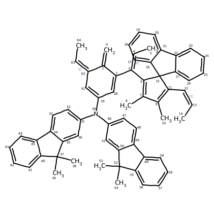 C=c1c(/C(=C/C)C2=C(C)C(C)=C(/C=C\C)C23c2ccccc2-c2ccccc23)cc(N(c2ccc3c(c2)C(C)(C)c2ccccc2-3)c2ccc3c(c2)C(C)(C)c2ccccc2-3)c/c1=C/C